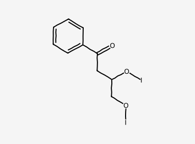 O=C(CC(COI)OI)c1ccccc1